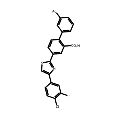 CC(=O)c1cccc(-c2ccc(-c3nc(-c4ccc(Cl)c(Cl)c4)cs3)cc2C(=O)O)c1